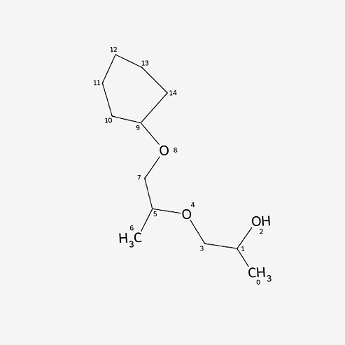 CC(O)COC(C)COC1CCCCC1